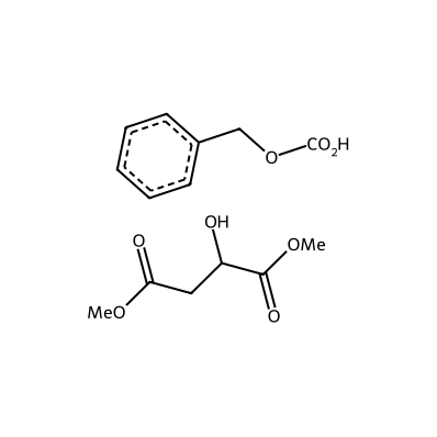 COC(=O)CC(O)C(=O)OC.O=C(O)OCc1ccccc1